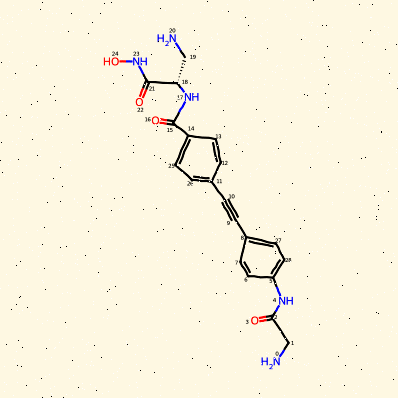 NCC(=O)Nc1ccc(C#Cc2ccc(C(=O)N[C@@H](CN)C(=O)NO)cc2)cc1